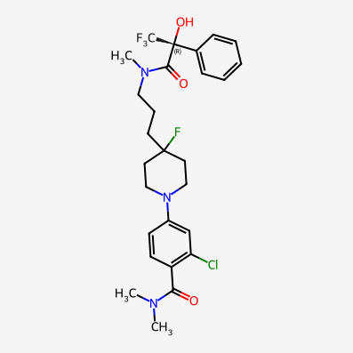 CN(C)C(=O)c1ccc(N2CCC(F)(CCCN(C)C(=O)[C@](O)(c3ccccc3)C(F)(F)F)CC2)cc1Cl